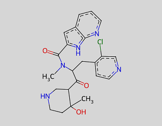 CN(C(=O)c1cc2cccnc2[nH]1)C(Cc1ccncc1Cl)C(=O)C1CNCCC1(C)O